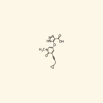 Cn1cc(Oc2[nH]nnc2C(=O)O)cc(C#CCC2CC2)c1=O